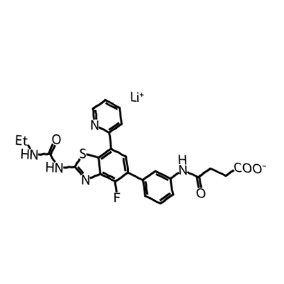 CCNC(=O)Nc1nc2c(F)c(-c3cccc(NC(=O)CCC(=O)[O-])c3)cc(-c3ccccn3)c2s1.[Li+]